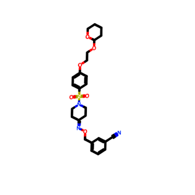 N#Cc1cccc(CON=C2CCN(S(=O)(=O)c3ccc(OCCOC4CCCCO4)cc3)CC2)c1